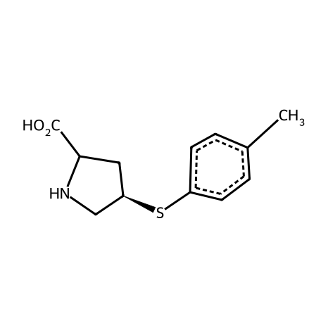 Cc1ccc(S[C@H]2CNC(C(=O)O)C2)cc1